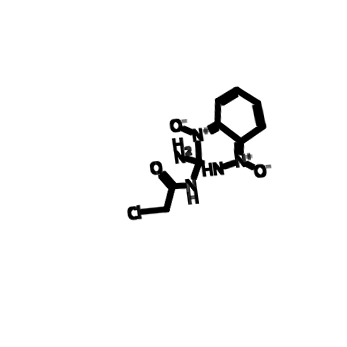 NC1(NC(=O)CCl)N[N+]([O-])=c2ccccc2=[N+]1[O-]